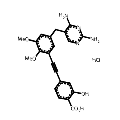 COc1cc(Cc2cnc(N)nc2N)cc(C#Cc2ccc(C(=O)O)c(O)c2)c1OC.Cl